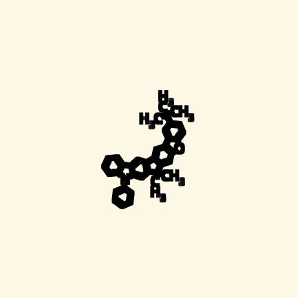 CC(C)(C)c1ccc2oc3cc4c(cc3c2c1)-c1cc2c3ccccc3n(-c3ccccc3)c2cc1C4(C)C